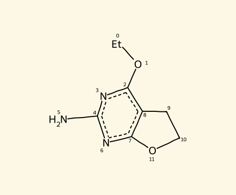 CCOc1nc(N)nc2c1CCO2